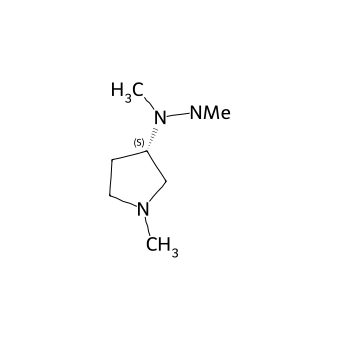 CNN(C)[C@H]1CCN(C)C1